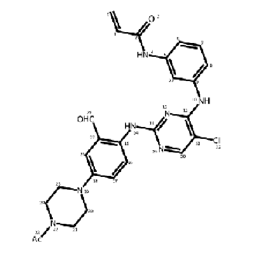 C=CC(=O)Nc1cccc(Nc2nc(Nc3ccc(N4CCN(C(C)=O)CC4)cc3C=O)ncc2Cl)c1